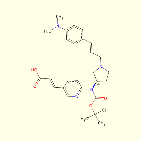 CN(C)c1ccc(C=CCN2CC[C@@H](N(C(=O)OC(C)(C)C)c3ccc(C=CC(=O)O)cn3)C2)cc1